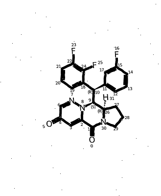 O=C1c2cc(=O)cnn2[C@@H]([C@H](c2cccc(F)c2)c2cccc(F)c2F)[C@H]2CCCN12